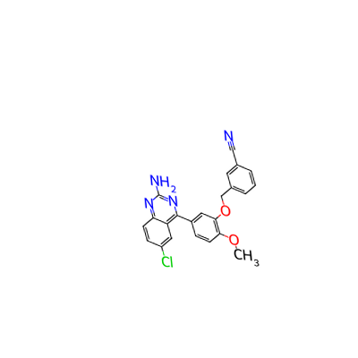 COc1ccc(-c2nc(N)nc3ccc(Cl)cc23)cc1OCc1cccc(C#N)c1